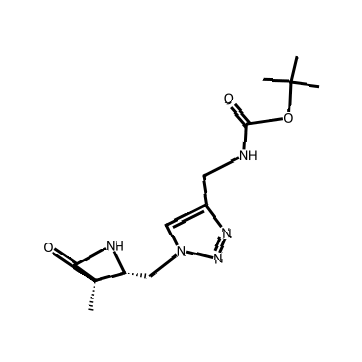 C[C@@H]1C(=O)N[C@@H]1Cn1cc(CNC(=O)OC(C)(C)C)nn1